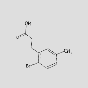 Cc1ccc(Br)c(CCC(=O)O)c1